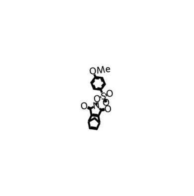 COc1ccc(S(=O)(=O)ON2C(=O)C3=C(C2=O)C2C=CC3C2)cc1